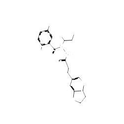 CC(C)CC(C(=O)O)N(NC(=O)CCC1=COC2CCOC2=C1)C(=O)c1cc(Cl)ccc1Cl